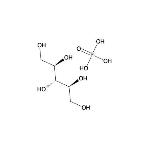 O=P(O)(O)O.OC[C@@H](O)[C@@H](O)[C@@H](O)CO